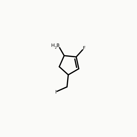 BC1CC(CI)C=C1F